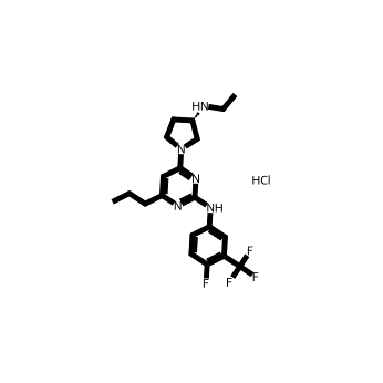 CCCc1cc(N2CC[C@H](NCC)C2)nc(Nc2ccc(F)c(C(F)(F)F)c2)n1.Cl